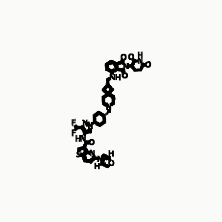 O=C1CCC(N2C(=O)c3cccc(NCC4CC5(CCN(C[C@H]6CC[C@H](n7cc(NC(=O)c8csc9ccc(N%10C[C@H]%11C[C@@H]%10CO%11)nc89)c(C(F)F)n7)CC6)CC5)C4)c3C2=O)C(=O)N1